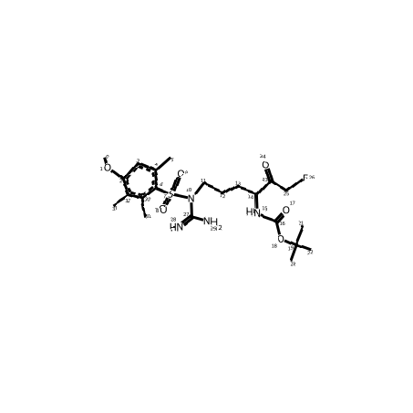 COc1cc(C)c(S(=O)(=O)N(CCCC(NC(=O)OC(C)(C)C)C(=O)CF)C(=N)N)c(C)c1C